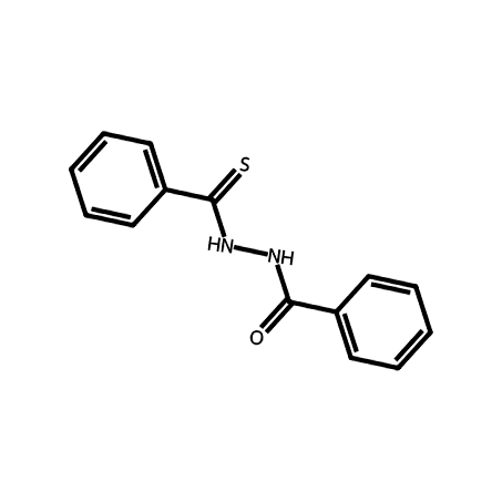 O=C(NNC(=S)c1ccccc1)c1ccccc1